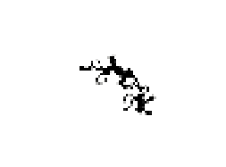 CCOC(=O)C(C)=C1CCN(OC(=O)C(C)(C)C)CC1